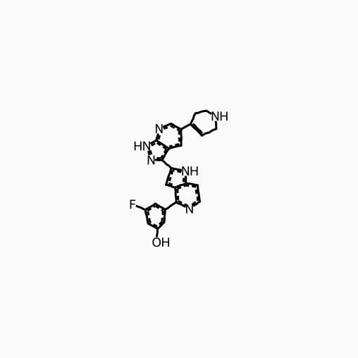 Oc1cc(F)cc(-c2nccc3[nH]c(-c4n[nH]c5ncc(C6=CCNCC6)cc45)cc23)c1